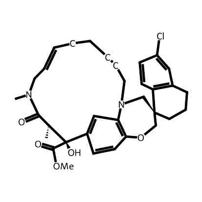 COC(=O)[C@@]1(O)c2ccc3c(c2)N(CCCCC/C=C/CN(C)C(=O)[C@H]1C)C[C@@]1(CCCc2cc(Cl)ccc21)CO3